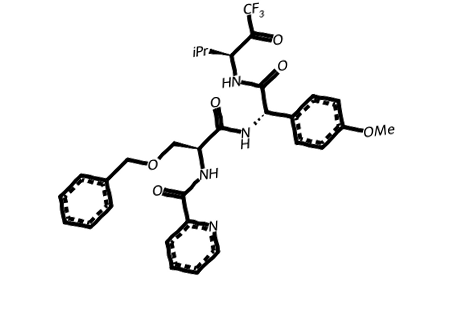 COc1ccc([C@H](NC(=O)[C@H](COCc2ccccc2)NC(=O)c2ccccn2)C(=O)N[C@H](C(=O)C(F)(F)F)C(C)C)cc1